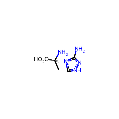 C[C@H](N)C(=O)O.Nc1nc[nH]n1